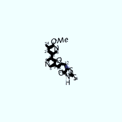 COc1ncc(-c2cncc3cc(/C=C4/SC(=S)NC4=O)oc23)cc1C